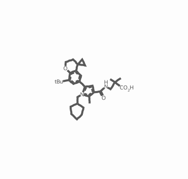 Cc1c(C(=O)NCC(C)(C)C(=O)O)cc(-c2cc(C(C)(C)C)c3c(c2)C2(CCO3)CC2)n1CC1CCCCC1